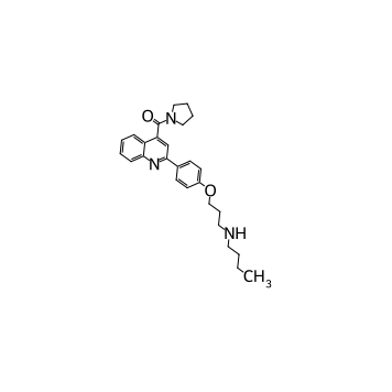 CCCCNCCCOc1ccc(-c2cc(C(=O)N3CCCC3)c3ccccc3n2)cc1